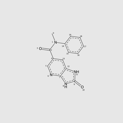 CN(C(=O)c1cnc2[nH]c(=O)[nH]c2c1)c1ccccc1